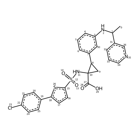 CC(Nc1cccc(C2CC2(NS(=O)(=O)c2ccc(-c3ccc(Cl)cc3)s2)C(=O)O)c1)c1cccnc1